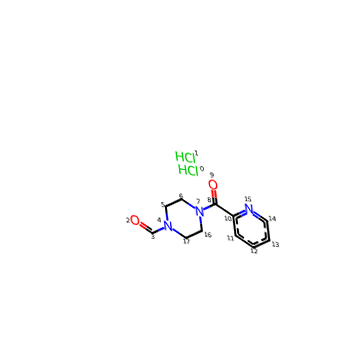 Cl.Cl.O=CN1CCN(C(=O)c2ccccn2)CC1